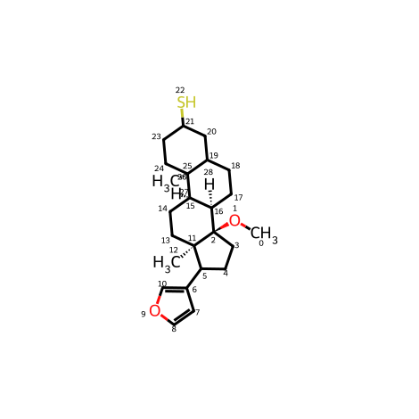 CO[C@@]12CCC(c3ccoc3)[C@@]1(C)CC[C@@H]1[C@H]2CCC2CC(S)CC[C@@]21C